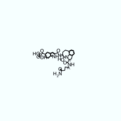 C[C@H](CCC(N)=O)NC(=O)[C@@H]1Cc2cccc3c2N1C(=O)[C@@H](NC(=O)c1cc2cc(C(=O)P(=O)(O)O)ccc2[nH]1)CC3